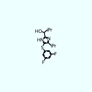 CC(C)c1nc(C(O)C(C)C)[nH]c1Sc1cc(F)cc(F)c1